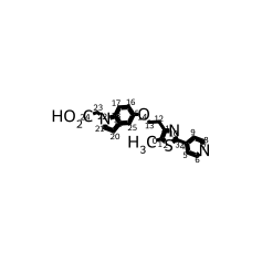 Cc1sc(-c2ccncc2)nc1CCOc1ccc2c(ccn2CC(=O)O)c1